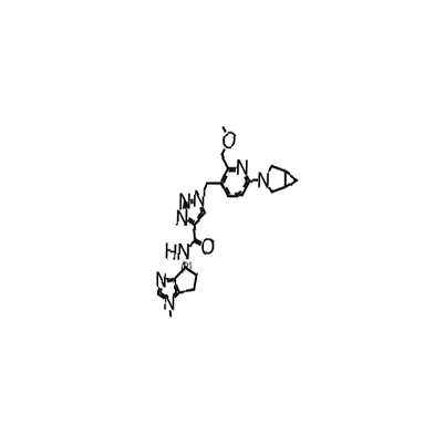 COCc1nc(N2CC3CC3C2)ccc1Cn1cc(C(=O)N[C@@H]2CCc3c2ncn3C)nn1